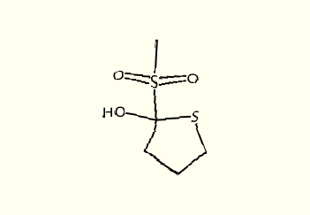 CS(=O)(=O)C1(O)CCCS1